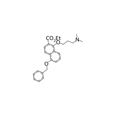 CCOC(=O)c1ccc2c(OCc3ccccc3)cccc2c1OCCCN(C)C